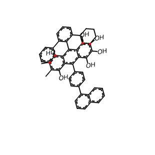 Cc1c(C)c(O)c2c(-c3c(C4=CCCCC4)cccc3-c3ccccc3)c3c(O)c(O)c(O)c(O)c3c(-c3ccc(-c4cccc5ccccc45)cc3)c2c1O